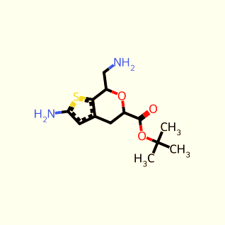 CC(C)(C)OC(=O)C1Cc2cc(N)sc2C(CN)O1